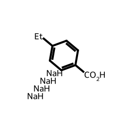 CCc1ccc(C(=O)O)cc1.[NaH].[NaH].[NaH].[NaH]